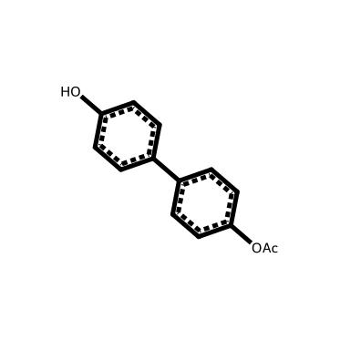 CC(=O)Oc1ccc(-c2ccc(O)cc2)cc1